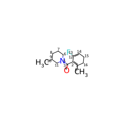 CC1=C(C(=O)N2CCCC(C)C2)C(F)=CCC1